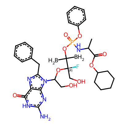 BC(B)(OP(=O)(NC(C)C(=O)OC1CCCCC1)Oc1ccccc1)[C@](F)(CO)OC(CO)n1c(Cc2ccccc2)nc2c(=O)[nH]c(N)nc21